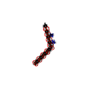 Cc1ccc(S(=O)(=O)c2ccc(S(=O)(=O)c3ccc(S(=O)(=O)c4ccc(S(=O)(=O)C(C)(C)C(=O)c5ccc(S(=O)(=O)c6ccc(S(=O)(=O)c7ccc(S(=O)(=O)c8ccc(S(C)(=O)=O)cc8)cc7)cc6)cc5)c(CN(C)C)c4)cc3CN(C)C)cc2)cc1